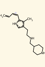 C=C/C=C\c1[nH]cc(CCNCC2CCNCC2)c1C